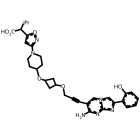 CC(C)C(C(=O)O)c1cc(N2CCC(OC3CC(OCC#Cc4cn5cc(-c6ccccc6O)nc5nc4N)C3)CC2)no1